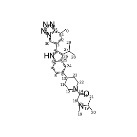 Cc1cc(-c2[nH]c3ccc(C4CCN(C(=O)CN(C)C(C)C)CC4)cc3c2C(C)C)cn2nnnc12